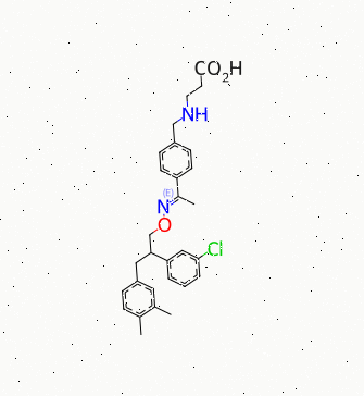 C/C(=N\OCC(Cc1ccc(C)c(C)c1)c1cccc(Cl)c1)c1ccc(CNCCC(=O)O)cc1